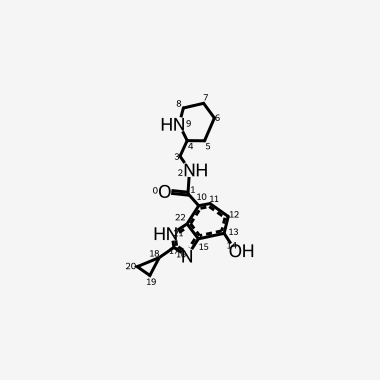 O=C(NCC1CCCCN1)c1ccc(O)c2nc(C3CC3)[nH]c12